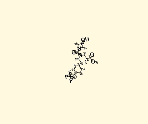 COC(=O)C1CC(c2ccc(OC(F)(F)F)cc2)CN(C(=O)N2CC(O)C2)C1